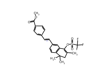 COC(=O)c1ccc(/C=C/c2ccc3c(c2)C(OS(=O)(=O)C(F)(F)F)=C(C)CC3(C)C)cc1